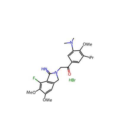 Br.COc1cc2c(c(F)c1OC)C(=N)N(CC(=O)c1cc(C(C)C)c(OC)c(N(C)C)c1)C2